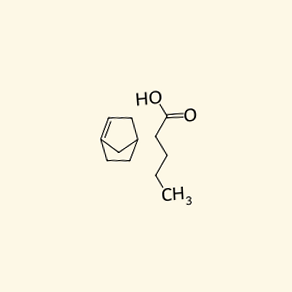 C1=C2CCC(C1)C2.CCCCC(=O)O